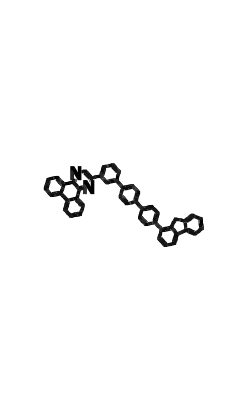 c1cc(-c2ccc(-c3ccc(-c4cccc5c4Cc4ccccc4-5)cc3)cc2)cc(-c2cnc3c4ccccc4c4ccccc4c3n2)c1